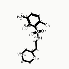 Nc1ccc(Cl)c(S(=O)(=O)NCCC2CNCCO2)c1O